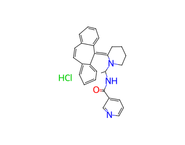 CC(NC(=O)c1cccnc1)N1CCCCC1=C1c2ccccc2C=Cc2ccccc21.Cl